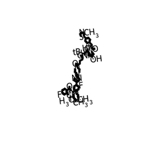 Cc1ncsc1-c1ccc(CNC(=O)[C@@H]2C[C@@H](O)CN2C(=O)[C@@H](NC(=O)CCCC(=O)N2CCN(c3ncc(-c4cc(NC(=O)c5ccc(F)cc5C(F)(F)F)c(N5C[C@@H](C)N(C)[C@@H](C)C5)cc4F)cn3)CC2)C(C)(C)C)cc1